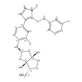 Cc1ccnc(OCc2c(-c3ccc(O[C@H]4C[C@@H]5CC[C@H](C(=O)O)[C@@H]5C4)c(C)n3)nnn2C)n1